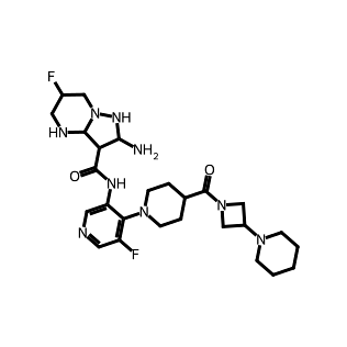 NC1NN2CC(F)CNC2C1C(=O)Nc1cncc(F)c1N1CCC(C(=O)N2CC(N3CCCCC3)C2)CC1